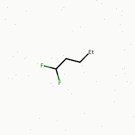 [CH2]CCC[C](F)F